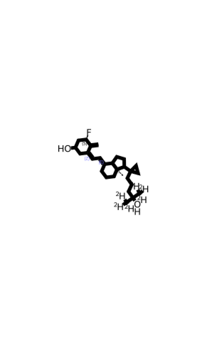 [2H]C([2H])([2H])C(O)(CCCC1(C2CCC3/C(=C/C=C4/CC(O)C[C@H](F)C4=C)CCC[C@@]32C)CC1)C([2H])([2H])[2H]